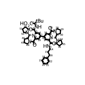 CC(C)(C)C(NC(=O)c1cc(-c2cc(C(=O)NCCCc3ccccc3)nc(C(=O)N3CCCC3CN3CCCC3)c2)cc(C(=O)N2CCCC2CN2CCCC2)n1)C(=O)O